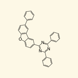 c1ccc(-c2ccc3oc4ccc(-c5nc(-c6ccccc6)nc(-c6ccccc6)n5)cc4c3c2)cc1